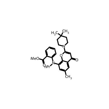 CCCN(c1ccccc1C(=O)OC)c1cc(C)cc2c(=O)cc(N3CCC(C)(C)CC3)oc12